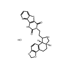 Cl.O=c1[nH]c2c(sc3cccnc32)c(=O)n1CCC1NC[C@@H]2CCc3c(ccc4c3OCO4)[C@H]12